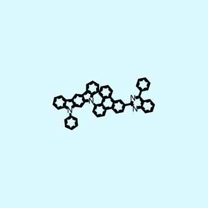 c1ccc(-c2nc(-c3ccc4c(c3)c3ccccc3c3c(-n5c6ccccc6c6cc7c8ccccc8n(-c8ccccc8)c7cc65)cccc43)nc3ccccc23)cc1